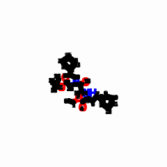 CCOC(=O)C(CCc1ccccc1)N[C@@H](C)C(=O)N(CCc1ccccc1)CC(=O)OC(C)(C)C